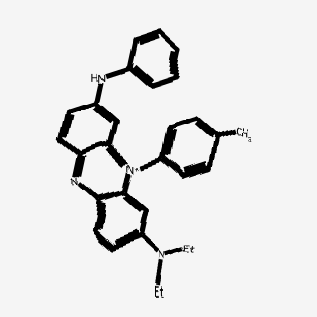 CCN(CC)c1ccc2nc3ccc(Nc4ccccc4)cc3[n+](-c3ccc(C)cc3)c2c1